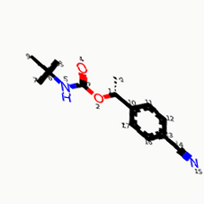 C[C@@H](OC(=O)NC(C)(C)C)c1ccc(C#N)cc1